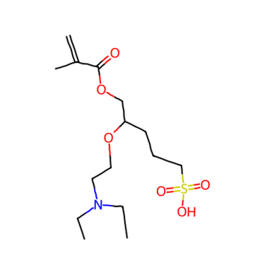 C=C(C)C(=O)OCC(CCCS(=O)(=O)O)OCCN(CC)CC